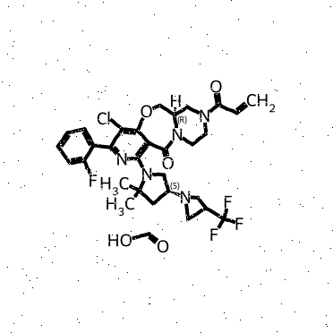 C=CC(=O)N1CCN2C(=O)c3c(N4C[C@@H](N5CC(C(F)(F)F)C5)CC4(C)C)nc(-c4ccccc4F)c(Cl)c3OC[C@H]2C1.O=CO